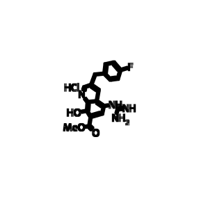 COC(=O)c1cc(NC(=N)N)c2cc(Cc3ccc(F)cc3)cnc2c1O.Cl